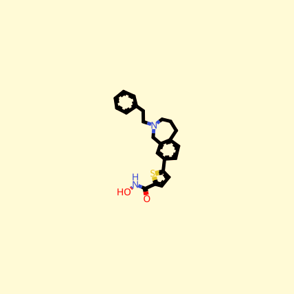 O=C(NO)c1ccc(-c2ccc3c(c2)CN(CCc2ccccc2)CCC3)s1